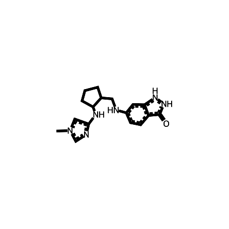 Cn1cnc(NC2CCCC2CNc2ccc3c(=O)[nH][nH]c3c2)c1